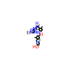 CCn1cc2ncc(N[C@@H](C)c3cc(NC(=O)c4cc(C)c(CN5CC[C@@H](O)C5)c(F)c4)ccc3C)nc2n1